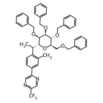 Cc1cc(-c2cnc(C(F)(F)F)cn2)ccc1C(C)[C@H]1O[C@H](COCc2ccccc2)[C@@H](OCc2ccccc2)[C@H](OCc2ccccc2)[C@@H]1OCc1ccccc1